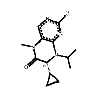 CC(C)N1c2nc(Cl)ncc2N(C)C(=O)[C@H]1C1CC1